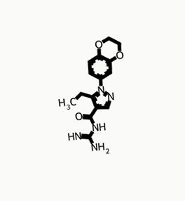 CCc1c(C(=O)NC(=N)N)cnn1-c1ccc2c(c1)OCCO2